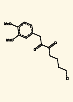 COc1ccc(CC(=O)C(=O)CCCCCl)cc1OC